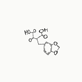 O=C(O)C(=O)C(Cc1ccc2c(c1)OCO2)C(=O)O